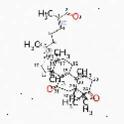 C/C(C=O)=C\CC[C@@H](C)[C@H]1CC[C@@]2(C)C3=C(CC[C@]12C)[C@@]1(C)CCC(=O)C(C)(C)[C@@H]1CC3=O